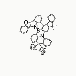 CC1(C)c2ccccc2-c2c1cc1c3c2-c2cccc4c5oc6ccccc6c5n(c24)B3c2cccc3c2N1c1ccccc1C31c2ccccc2-c2ccccc21